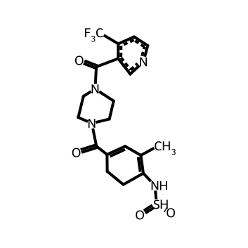 CC1=C(N[SH](=O)=O)CCC(C(=O)N2CCN(C(=O)c3cnccc3C(F)(F)F)CC2)=C1